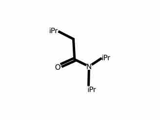 CC(C)CC(=O)N(C(C)C)C(C)C